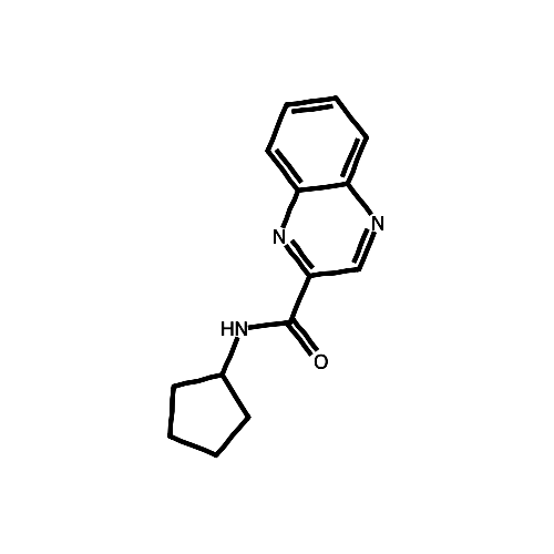 O=C(NC1CCCC1)c1cnc2ccccc2n1